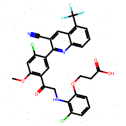 COc1cc(Cl)c(-c2nc3cccc(C(F)(F)F)c3cc2C#N)cc1C(=O)CNc1c(Cl)cccc1OCCC(=O)O